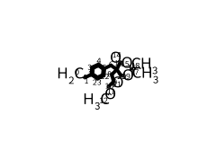 C=Cc1ccc(CC2(CCCOC)C(=O)OC(C)(C)OC2=O)cc1